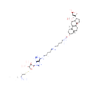 C[C@]12CC[C@@H](OC(=O)NCCCCC/N=C/CCC/C=N/c3ncnc4c3ncn4C3O[C@H](CSCC[C@H](N)C(=O)O)[C@@H](O)[C@H]3O)C[C@H]1CCC1[C@@H]2C[C@@H](O)[C@]2(C)[C@@H](C3=CC(=O)OC3)CC[C@]12O